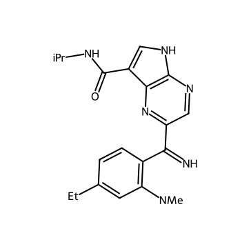 CCc1ccc(C(=N)c2cnc3[nH]cc(C(=O)NC(C)C)c3n2)c(NC)c1